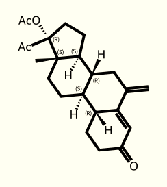 C=C1C[C@@H]2[C@H](CC[C@@]3(C)[C@H]2CC[C@]3(OC(C)=O)C(C)=O)[C@H]2CCC(=O)C=C12